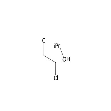 CC(C)O.ClCCCl